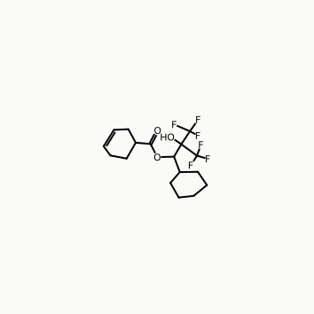 O=C(OC(C1CCCCC1)C(O)(C(F)(F)F)C(F)(F)F)C1CC=CCC1